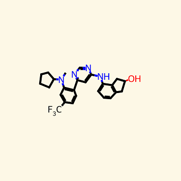 CN(c1cc(C(F)(F)F)ccc1-c1cc(Nc2cccc3c2C[C@@H](O)C3)ncn1)C1CCCC1